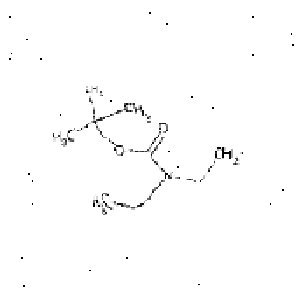 [CH2]CN(CC)C(=O)OC(C)(C)C